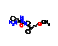 CCOCCCC[C@@H](c1ccccc1)[C@@H]1CCCN(C(=O)N[C@H](CN)CC2CCCCC2)C1